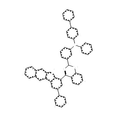 c1ccc(-c2ccc(N(c3ccccc3)c3cccc(C4N=C(c5cc(-c6ccccc6)cc6c5oc5cc7ccccc7cc56)c5ccccc5N4)c3)cc2)cc1